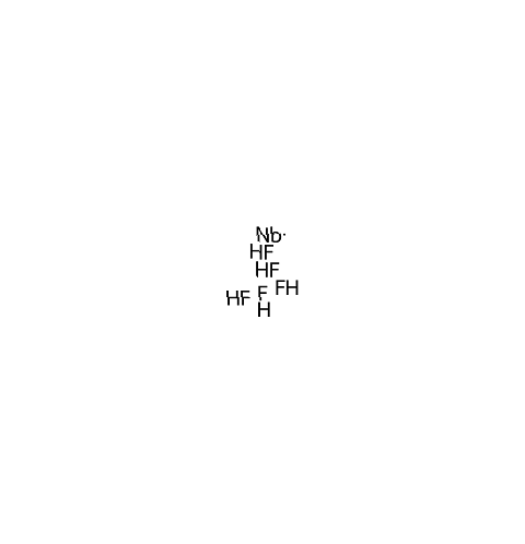 F.F.F.F.F.[Nb]